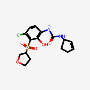 O=C(Nc1ccc(Cl)c(S(=O)(=O)C2CCOC2)c1O)NC1C=CCC1